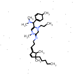 CCCCCC1(C)C=C/C(=C/CC/N=C2/CN(CCC)C(C(C3=CCC(C)C=C3)N(C)C)=CN2C)C1C